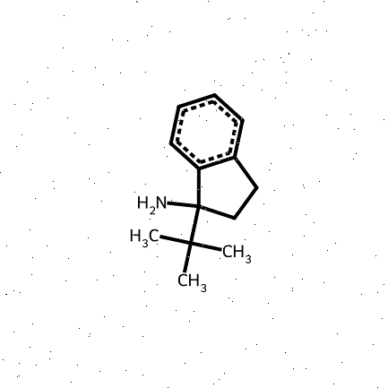 CC(C)(C)C1(N)CCc2ccccc21